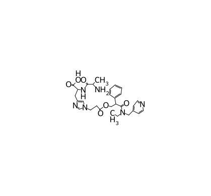 CCN(Cc1ccncc1)C(=O)C(COC(=O)CCn1cnc(CC(NC(=O)C(C)N)C(=O)O)c1)c1ccccc1